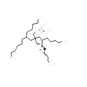 CCCCCCC(CCCCC)CC(COP(=O)(O)O)(COP(=O)(O)O)CC(CCCCC)CCCCCC